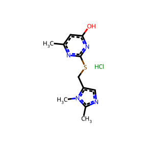 Cc1cc(O)nc(SCc2cnc(C)n2C)n1.Cl